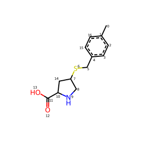 Cc1ccc(CSC2CNC(C(=O)O)C2)cc1